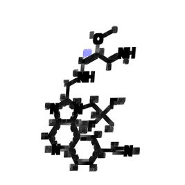 CO/C(C=N)=C/NCc1nc2cnc3ccc(C#N)cc3c2n1CC(C)(F)F